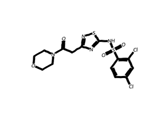 O=C(Cc1nsc(NS(=O)(=O)c2ccc(Cl)cc2Cl)n1)N1CCOCC1